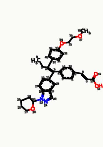 CC/C(=C(/c1ccc(/C=C/C(=O)O)cc1)c1ccc2c(cnn2C2CCCCO2)c1)c1ccc(OCCOC)cc1